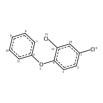 Clc1ccc(Oc2cc[c]cc2)c(Cl)c1